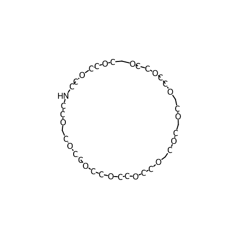 C1COCCOCCOCCOCCOCCOCCOCCOCCOCCOCCOCCOCCOCCN1